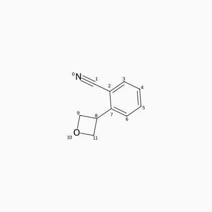 N#Cc1ccccc1C1COC1